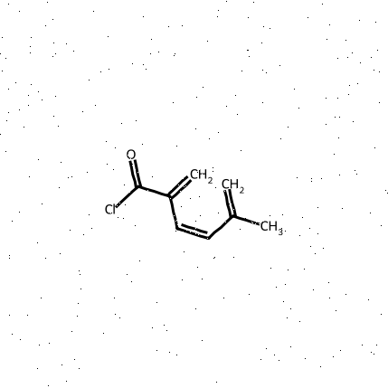 C=C(C)/C=C\C(=C)C(=O)Cl